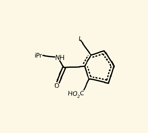 CC(C)NC(=O)c1c(I)cccc1C(=O)O